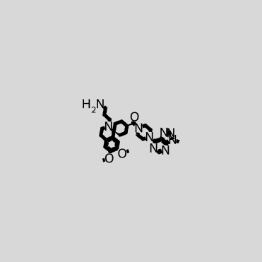 COc1cc2c(cc1OC)[C@]1(CC[C@H](C(=O)N3CCN(c4ncnc5c4nnn5C)CC3)CC1)N(CCCN)CC2